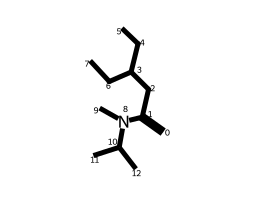 C=C(CC(CC)CC)N(C)C(C)C